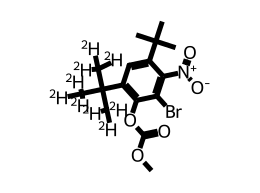 [2H]C([2H])([2H])C(c1cc(C(C)(C)C)c([N+](=O)[O-])c(Br)c1OC(=O)OC)(C([2H])([2H])[2H])C([2H])([2H])[2H]